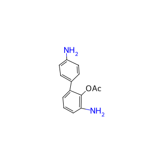 CC(=O)Oc1c(N)cccc1-c1ccc(N)cc1